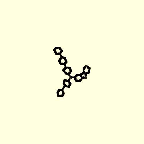 c1ccc(-c2ccc(-c3ccc(N(c4ccc(-c5ccccc5)cc4)c4ccc5sc6ccncc6c5c4)cc3)cc2)cc1